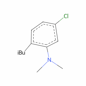 CCC(C)c1ccc(Cl)cc1N(C)C